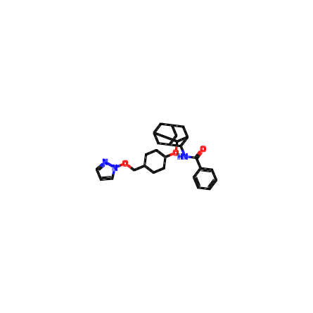 O=C(NC1C2CC3CC(C2)C(OC2CCC(COn4cccn4)CC2)C1C3)c1ccccc1